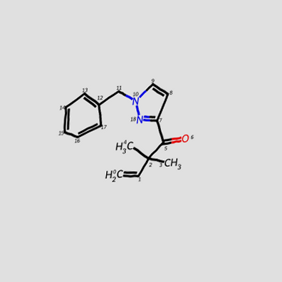 C=CC(C)(C)C(=O)c1ccn(Cc2ccccc2)n1